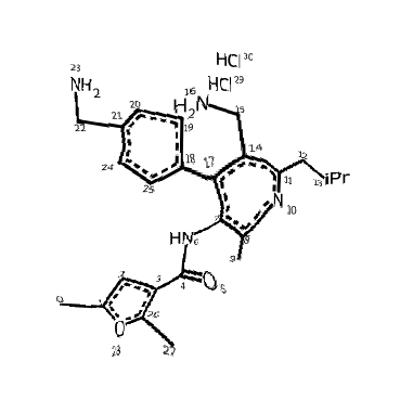 Cc1cc(C(=O)Nc2c(C)nc(CC(C)C)c(CN)c2-c2ccc(CN)cc2)c(C)o1.Cl.Cl